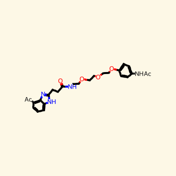 CC(=O)Nc1ccc(OCCOCCOCCNC(=O)CCc2nc3c(C(C)=O)cccc3[nH]2)cc1